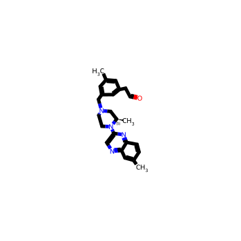 Cc1cc(CC=O)cc(CN2CCN(c3cnc4cc(C)ccc4n3)[C@@H](C)C2)c1